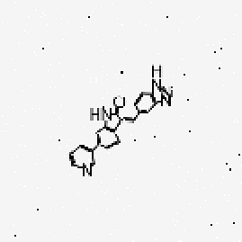 O=C1Nc2cc(-c3cccnc3)ccc2C1=Cc1ccc2[nH]nnc2c1